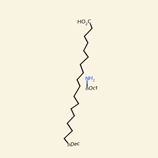 CCCCCCCCCCCCCCCCCCCCCCCCCCC(=O)O.CCCCCCCCN